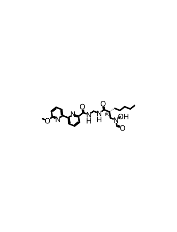 CCCCC[C@H](CN(O)C=O)C(=O)NCNC(=O)c1cccc(-c2cccc(OC)n2)n1